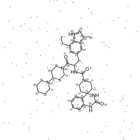 CCc1cc(CC(NC(=O)N2CCC3(CC2)NC(=O)Nc2ccccc23)C(=O)N2CCC(N3CCCCC3)CC2)cc2c(C)n[nH]c12